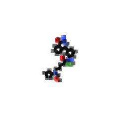 COCN(CCCCC(=O)Nc1cccc(-c2n[nH]c(=O)c3ccccc23)c1)C1CCCC1.Cl